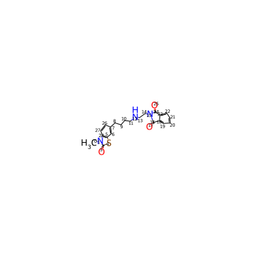 Cn1c(=O)sc2cc(CCCCNCCN3C(=O)c4ccccc4C3=O)ccc21